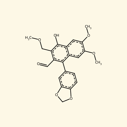 COCc1c(C=O)c(-c2ccc3c(c2)OCO3)c2cc(OC)c(OC)cc2c1O